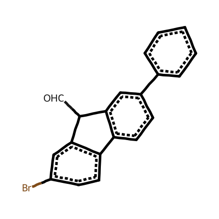 O=CC1c2cc(Br)ccc2-c2ccc(-c3ccccc3)cc21